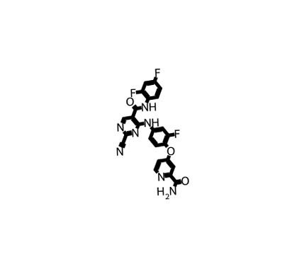 N#Cc1ncc(C(=O)Nc2ccc(F)cc2F)c(Nc2ccc(Oc3ccnc(C(N)=O)c3)c(F)c2)n1